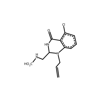 C=CCN1c2cccc(Cl)c2C(=O)NC1CNC(=O)O